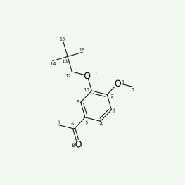 COc1ccc(C(C)=O)cc1OCC(C)(C)C